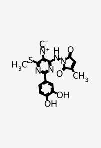 [C-]#[N+]c1c(NN2C(=O)C=C(C)C2=O)nc(-c2ccc(O)c(O)c2)nc1SC